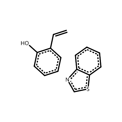 C=Cc1ccccc1O.c1ccc2scnc2c1